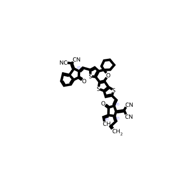 C=C/C=C1/C(=C(C#N)C#N)/C(=C/c2cc3sc4c(c3s2)OC2(CCCCC2)c2cc(/C=C3\C(=O)c5ccccc5C3=C(C#N)C#N)sc2-4)C(=O)/C1=C/C